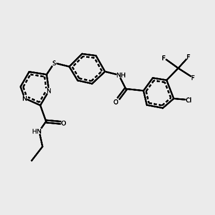 CCNC(=O)c1nccc(Sc2ccc(NC(=O)c3ccc(Cl)c(C(F)(F)F)c3)cc2)n1